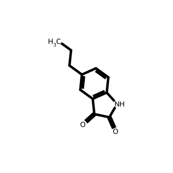 CCCc1ccc2c(c1)C(=O)C(=O)N2